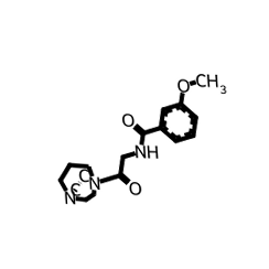 COc1cccc(C(=O)NCC(=O)N2CCN3CCC2CC3)c1